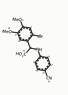 COc1cc(Br)c(C(Nc2ccc(C#N)cc2)C(=O)O)cc1OC